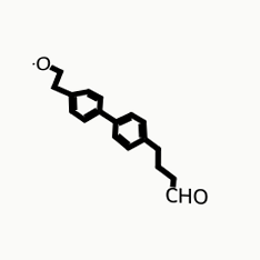 [O]CCc1ccc(-c2ccc(CCCC=O)cc2)cc1